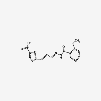 CCc1ccccc1C(=O)N/N=C/C=C/c1ccc([N+](=O)[O-])o1